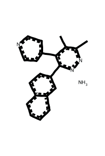 Cc1nnc(-c2ccc3ccccc3c2)c(-c2ccncc2)c1C.N